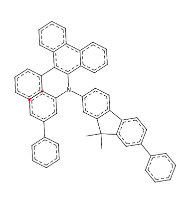 CC1(C)c2cc(-c3ccccc3)ccc2-c2ccc(N(c3cccc(-c4ccccc4)c3)c3c(-c4ccccc4)c4ccccc4c4ccccc34)cc21